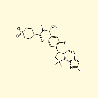 CN(C(=O)C1CCS(=O)(=O)CC1)[C@@H](c1ccc([C@@H]2CC(C)(C)c3c2cnc2cc(F)nn32)c(F)c1)C(F)(F)F